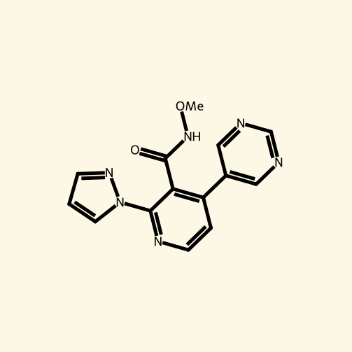 CONC(=O)c1c(-c2cncnc2)ccnc1-n1cccn1